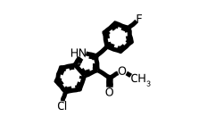 COC(=O)c1c(-c2ccc(F)cc2)[nH]c2ccc(Cl)cc12